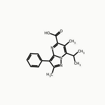 Cc1nn2c(C(C)C)c(C)c(C(=O)O)nc2c1-c1ccccc1